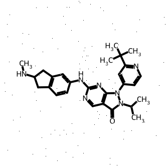 CNC1Cc2ccc(Nc3ncc4c(=O)n(C(C)C)n(-c5ccnc(C(C)(C)C)c5)c4n3)cc2C1